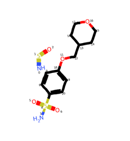 N=S=O.NS(=O)(=O)c1ccc(OCC2CCOCC2)cc1